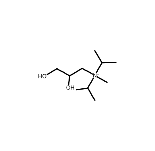 CC(C)[N+](C)(CC(O)CO)C(C)C